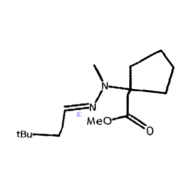 COC(=O)C1(N(C)/N=C/CC(C)(C)C)CCCC1